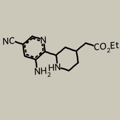 CCOC(=O)CC1CCNC(c2ncc(C#N)cc2N)C1